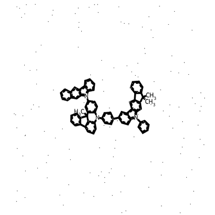 CC1(C)c2ccccc2-c2cc3c4cc(-c5ccc(N6c7ccc(-n8c9ccccc9c9cc%10ccccc%10cc98)cc7C7(C)c8ccccc8-c8cccc6c87)cc5)ccc4n(-c4ccccc4)c3cc21